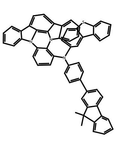 CC1(C)c2ccccc2-c2ccc(-c3ccc(N(c4ccc5sc6ccccc6c5c4)c4cccc5c4n4c6ccccc6c6ccc7c8ccccc8n5c7c64)cc3)cc21